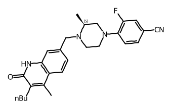 CCCCc1c(C)c2ccc(CN3CCN(c4ccc(C#N)cc4F)C[C@@H]3C)cc2[nH]c1=O